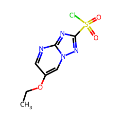 CCOc1cnc2nc(S(=O)(=O)Cl)nn2c1